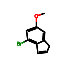 COc1cc(Br)c2c(c1)CC=C2